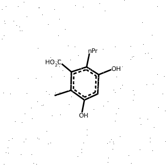 CCCc1c(O)cc(O)c(C)c1C(=O)O